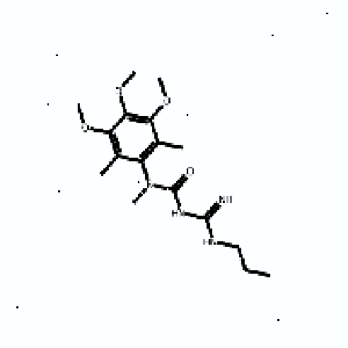 CCCNC(=N)NC(=O)N(C)c1c(C)c(OC)c(OC)c(OC)c1C